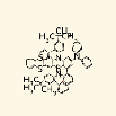 CC(C)(C)c1ccc(N2B3c4cc5c(cc4N(c4ccc(C(C)(C)C)cc4-c4ccccc4)c4cc(N(c6ccccc6)c6ccccc6)cc(c43)-c3ccccc32)Sc2ccccc2S5)c(-c2ccccc2)c1